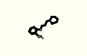 Cc1cccnc1OCCCN1CCCCC1